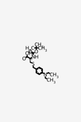 CCN(CC)c1ccc(CSC[C@H](NC(=O)OC(C)(C)C)C(=O)O)cc1